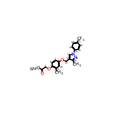 COC(=O)COc1ccc(OCc2cn(-c3ccc(C(F)(F)F)cc3)nc2C)cc1C